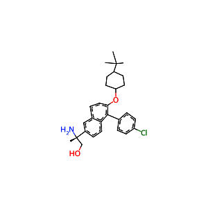 CC(C)(C)C1CCC(Oc2ccc3cc([C@@](C)(N)CO)ccc3c2-c2ccc(Cl)cc2)CC1